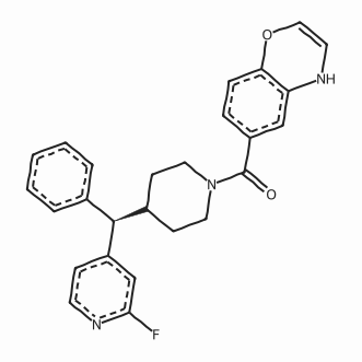 O=C(c1ccc2c(c1)NC=CO2)N1CCC([C@H](c2ccccc2)c2ccnc(F)c2)CC1